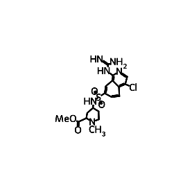 COC(=O)C1CC(NS(=O)(=O)c2ccc3c(Cl)cnc(NC(=N)N)c3c2)CCN1C